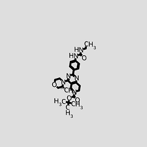 CCNC(=O)Nc1ccc(-c2nc3c(c(N4CCOC[C@@H]4C)n2)CN(C(=O)OC(C)(C)C)CC3)cc1